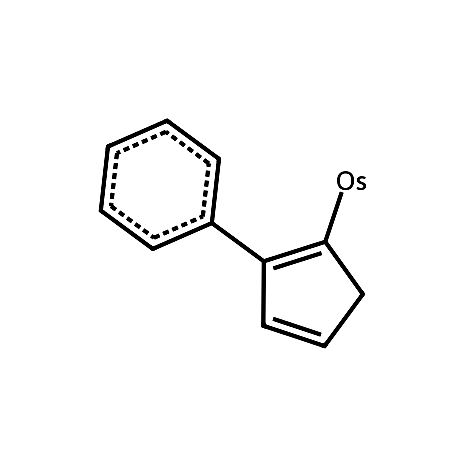 [Os][C]1=C(c2ccccc2)C=CC1